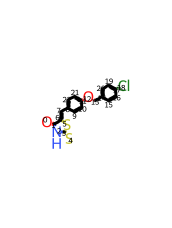 O=C1NC(=S)S/C1=C\c1ccc(OCc2ccc(Cl)cc2)cc1